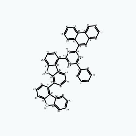 c1ccc(-c2nc(-c3cc4ccccc4c4ccccc34)nc(-c3cccc4oc5c(-c6cccc7oc8ccccc8c67)cccc5c34)n2)cc1